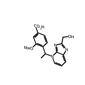 COc1cc(C(=O)O)ccc1C(C)n1cccc2nc(CO)nc1-2